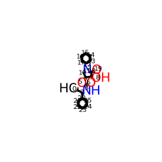 C#CC(NC(=O)O[C@@]1(O)CCN(c2ccccc2)C1=O)c1ccccc1